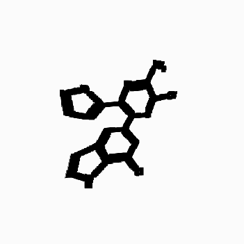 N#Cc1nc(-c2cc(Cl)c3[nH]ncc3c2)c(-c2ccno2)nc1N